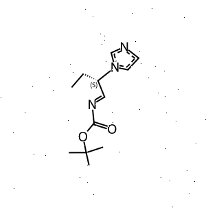 CC[C@@H](C=NC(=O)OC(C)(C)C)n1ccnc1